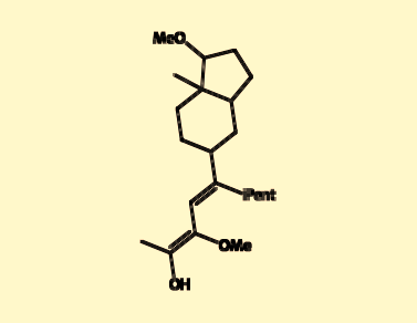 CCCC(C)/C(=C\C(OC)=C(/C)O)C1CCC2(C)C(CCC2OC)C1